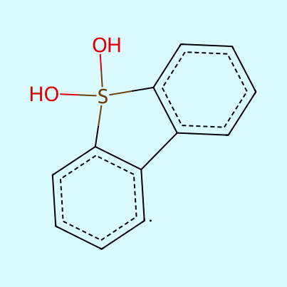 OS1(O)c2ccc[c]c2-c2ccccc21